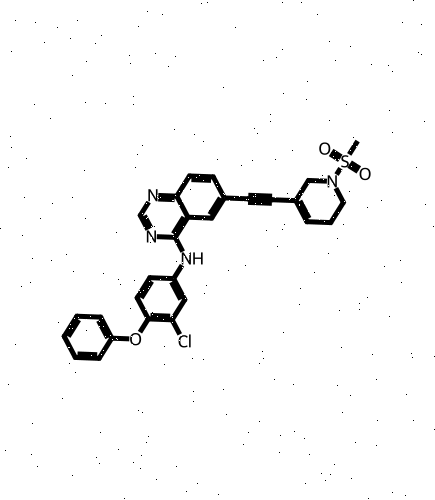 CS(=O)(=O)N1CCC=C(C#Cc2ccc3ncnc(Nc4ccc(Oc5ccccc5)c(Cl)c4)c3c2)C1